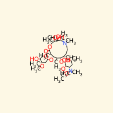 CCC(=O)O[C@H]1[C@H](O[C@@H]2[C@@H](C)[C@H](O[C@H]3C[C@@](C)(OC)[C@@H](O)CO3)[C@@H](C)C(=O)O[C@H](CC)[C@@](C)(O)[C@H](O)[C@@H](C)N(C)CCC[C@@]2(C)O)O[C@H](C)C[C@@H]1N(C)C